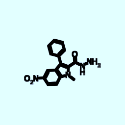 Cn1c(C(=O)NN)c(-c2ccccc2)c2cc([N+](=O)[O-])ccc21